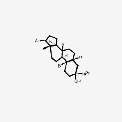 CCC[C@@]1(O)CC[C@@]2(CC)[C@H](CC[C@H]3[C@@H]4CC[C@H](C(C)=O)[C@@]4(C)CC[C@@H]32)C1